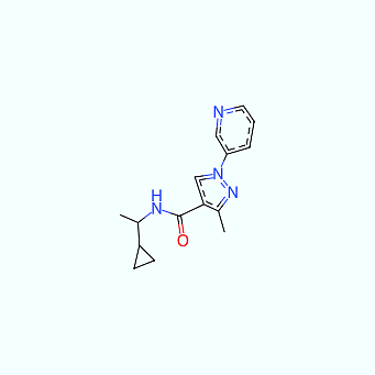 Cc1nn(-c2cccnc2)cc1C(=O)NC(C)C1CC1